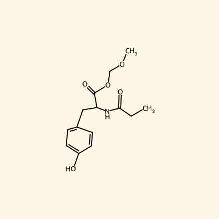 CCC(=O)NC(Cc1ccc(O)cc1)C(=O)OCOC